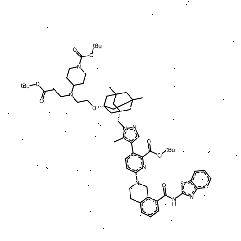 Cc1c(-c2ccc(N3CCc4cccc(C(=O)Nc5nc6ccccc6s5)c4C3)nc2C(=O)OC(C)(C)C)cnn1C[C@]12CC3(C)CC(C)(C1)C[C@](OCCN(CCC(=O)OC(C)(C)C)C1CCN(C(=O)OC(C)(C)C)CC1)(C3)C2